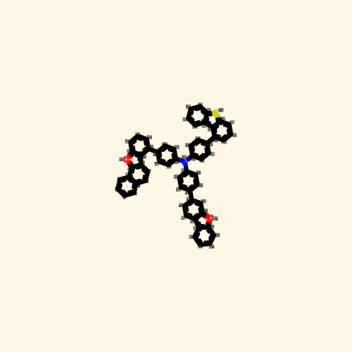 c1ccc2c(c1)ccc1c2oc2cccc(-c3ccc(N(c4ccc(-c5ccc6c(c5)oc5ccccc56)cc4)c4ccc(-c5cccc6sc7ccccc7c56)cc4)cc3)c21